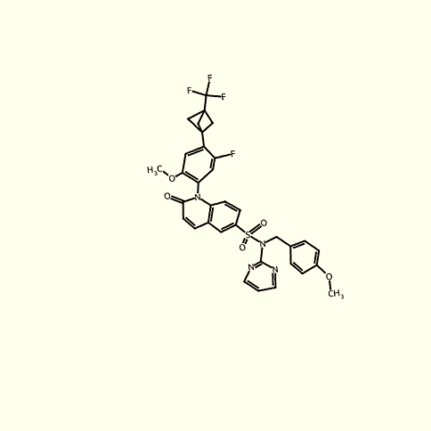 COc1ccc(CN(c2ncccn2)S(=O)(=O)c2ccc3c(ccc(=O)n3-c3cc(F)c(C45CC(C(F)(F)F)(C4)C5)cc3OC)c2)cc1